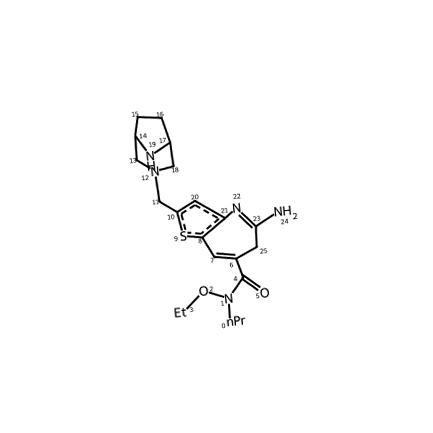 CCCN(OCC)C(=O)C1=Cc2sc(CN3CC4CCC(C3)N4)cc2N=C(N)C1